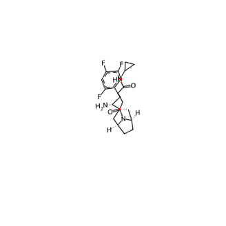 N[C@H](Cc1cc(F)c(F)cc1F)[C@@H]1C[C@H]2CC[C@@H](C1)N2C(=O)CCC(=O)NC1CC1